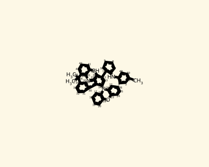 Cc1ccc(Nc2ccccc2-c2cc(N3c4ccccc4Oc4ccccc43)c3c4cccc5c4n4c3c2Bc2cccc(c2-4)C5(C)C)cc1